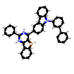 c1ccc(-c2cccc(-n3c4ccccc4c4cc(-c5nc(-c6ccccc6)nc6c5sc5ccccc56)ccc43)c2)cc1